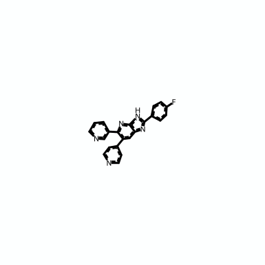 Fc1ccc(-c2nc3cc(-c4ccncc4)c(-c4cccnc4)nc3[nH]2)cc1